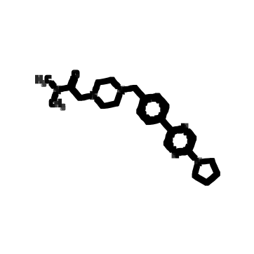 CN(C)C(=O)CN1CCN(Cc2ccc(-c3cnc(N4CCCC4)cn3)cc2)CC1